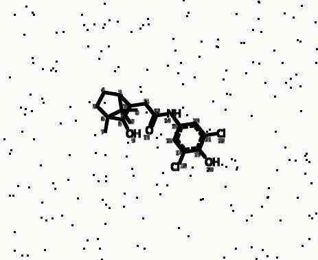 CC1(C)C2CCC1(C)C(O)C2CC(=O)Nc1cc(Cl)c(O)c(Cl)c1